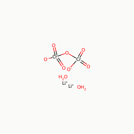 O.O.[Li+].[Li+].[O]=[Cr](=[O])([O-])[O][Cr](=[O])(=[O])[O-]